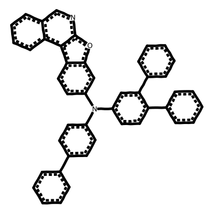 c1ccc(-c2ccc(N(c3ccc(-c4ccccc4)c(-c4ccccc4)c3)c3ccc4c(c3)oc3ncc5ccccc5c34)cc2)cc1